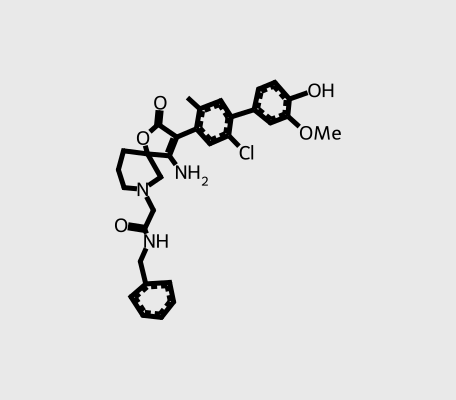 COc1cc(-c2cc(C)c(C3=C(N)C4(CCCN(CC(=O)NCc5ccccc5)C4)OC3=O)cc2Cl)ccc1O